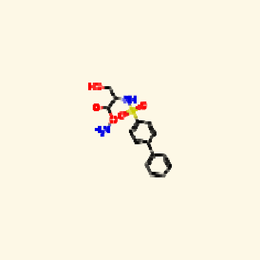 NOC(=O)C(CO)NS(=O)(=O)c1ccc(-c2ccccc2)cc1